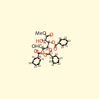 COC(=O)[C@H](O)[C@H](OC(=O)c1ccccc1)[C@@H](OC(=O)c1ccccc1)[C@@H](C=O)OC(=O)c1ccccc1